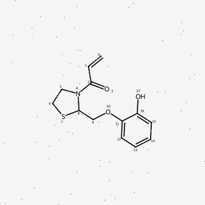 C=CC(=O)N1CCSC1COc1ccccc1O